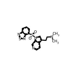 CN(C)CCc1cn(S(=O)(=O)c2cccc3nsnc23)c2cnccc12